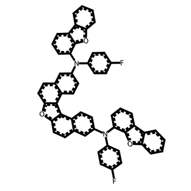 Fc1ccc(N(c2ccc3c(ccc4oc5ccc6cc(N(c7ccc(F)cc7)c7cccc8c7oc7ccccc78)ccc6c5c43)c2)c2cccc3c2oc2ccccc23)cc1